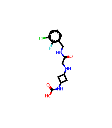 O=C(O)NC1CC(NCC(=O)NCc2cccc(Cl)c2F)C1